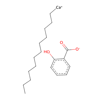 CCCCCCCCCCC[CH2][Ca+].O=C([O-])c1ccccc1O